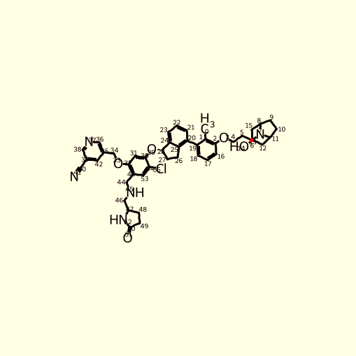 Cc1c(OCCCN2C3CCC2CC(O)C3)cccc1-c1cccc2c1CC[C@@H]2Oc1cc(OCc2cncc(C#N)c2)c(CNCC2CCC(=O)N2)cc1Cl